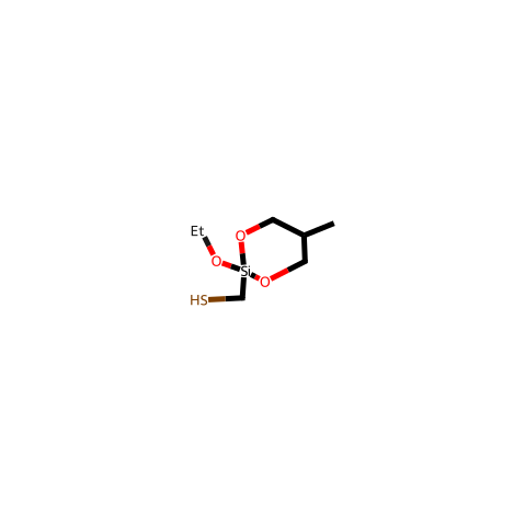 CCO[Si]1(CS)OCC(C)CO1